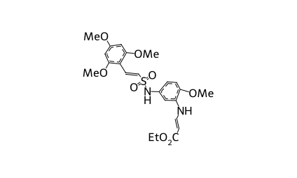 CCOC(=O)/C=C/Nc1cc(NS(=O)(=O)/C=C/c2c(OC)cc(OC)cc2OC)ccc1OC